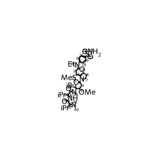 CCC(C)C(C(CC(=O)N1CCCC1C(CC(=O)N(CC)c1ccc(S(N)(=O)=O)cc1)SC)OC)N(C)C(=O)C(NC(=O)C(C(C)C)N(C)C)C(C)C